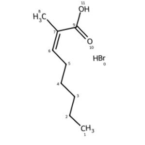 Br.CCCCCC=C(C)C(=O)O